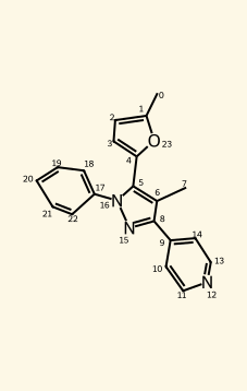 Cc1ccc(-c2c(C)c(-c3ccncc3)nn2-c2ccccc2)o1